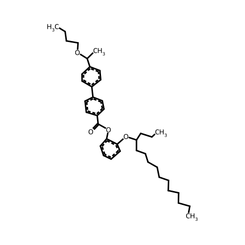 CCCCCCCCCCCC(CCC)Oc1ccccc1OC(=O)c1ccc(-c2ccc(C(C)OCCCC)cc2)cc1